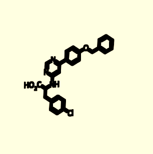 O=C(O)C(Cc1ccc(Cl)cc1)Nc1cc(-c2ccc(OCc3ccccc3)cc2)ncn1